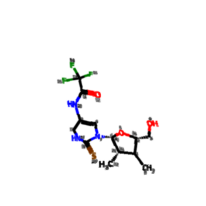 CC1[C@@H](CO)O[C@@H](N2C=C(NC(=O)C(F)(F)F)CNC2=S)[C@H]1C